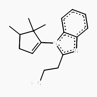 CC1CC=C(n2c(CCN)nc3ccccc32)C1(C)C